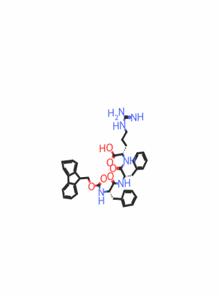 N=C(N)NCCC[C@H](NC(=O)[C@H](Cc1ccccc1)NC(=O)[C@H](Cc1ccccc1)NC(=O)OCC1c2ccccc2-c2ccccc21)C(=O)O